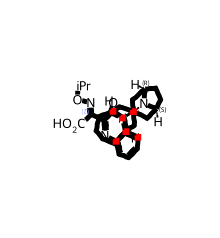 CC(C)O/N=C(\C(=O)O)c1nc2ccccc2n([C@H]2C[C@H]3CC[C@@H](C2)N3[C@@H]2C[C@@H]3CCCC[C@@H](C3)C2)c1=O